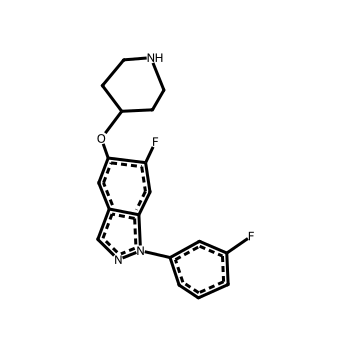 Fc1cccc(-n2ncc3cc(OC4CCNCC4)c(F)cc32)c1